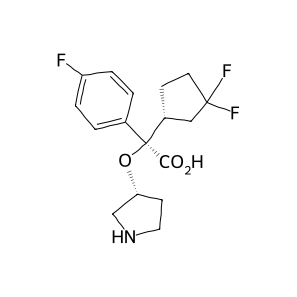 O=C(O)[C@](O[C@@H]1CCNC1)(c1ccc(F)cc1)[C@@H]1CCC(F)(F)C1